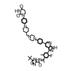 Cc1cc(-c2n[nH]c3ncc(-c4ccc(N5CCN(CC6CCN(c7ccc(N8CCC(=O)NC8=O)cc7)CC6)CC5)cc4)cc23)c(F)cc1[C@@H](C)NC(=O)c1noc(C(C)(C)C)n1